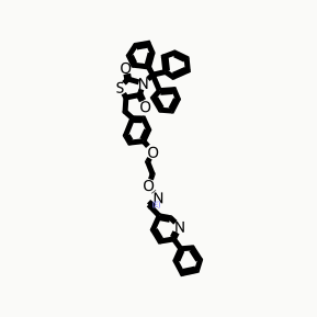 O=C1SC(Cc2ccc(OCCO/N=C/c3ccc(-c4ccccc4)nc3)cc2)C(=O)N1C(c1ccccc1)(c1ccccc1)c1ccccc1